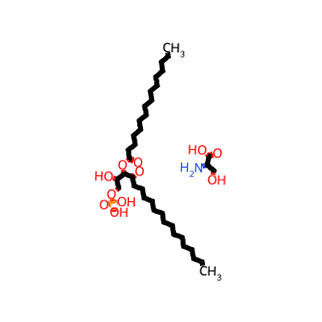 CCCCCCCCCCCCCCCC(=O)OC(C(=O)CCCCCCCCCCCCCCC)C(O)COP(=O)(O)O.NC(CO)C(=O)O